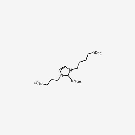 CCCCCCCCCCCCCCN1C=CN(CCCCCCCCCCCCC)C1CCCCCCCCC